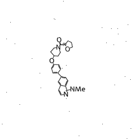 CNc1nccc2cc(-c3ccc(OC4CCN(C(=O)[C@H]5CCCO5)CC4)cc3)ccc12